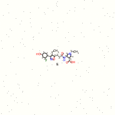 CCc1c(-c2ccc(O)cc2F)noc1CCC(=O)Nc1cn(CC)cc1C(=O)O.[K]